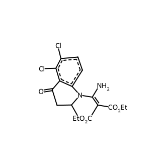 CCOC(=O)C(C(=O)OCC)=C(N)N1c2ccc(Cl)c(Cl)c2C(=O)CC1C